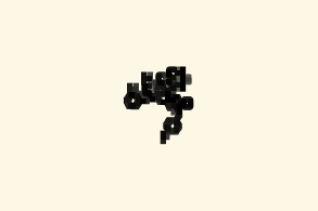 CC(C)NC(=O)N1CC(=O)N(Cc2ccc(F)cc2)CC1CCN(C)Cc1ccccc1